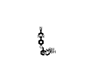 N#Cc1cnc(-c2ccc(OCC34CCC(CC3)N3CCS(O)(O)N=C34)cc2)nc1